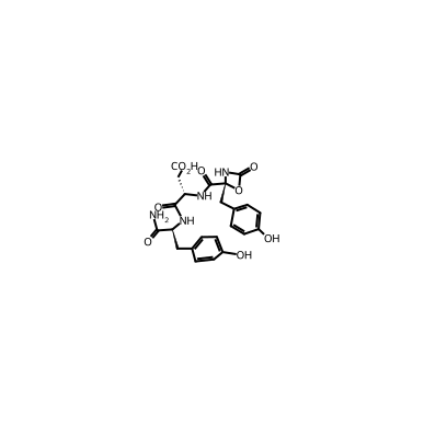 NC(=O)[C@H](Cc1ccc(O)cc1)NC(=O)[C@H](CC(=O)O)NC(=O)[C@]1(Cc2ccc(O)cc2)NC(=O)O1